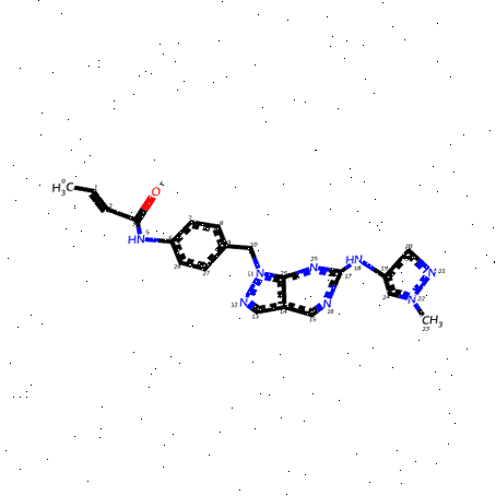 CC=CC(=O)Nc1ccc(Cn2ncc3cnc(Nc4cnn(C)c4)nc32)cc1